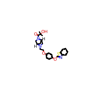 CC(C)(O)C(=O)N1C[C@@H]2C[C@H]1CN2CCOc1ccc(Oc2nc3ccccc3s2)cc1